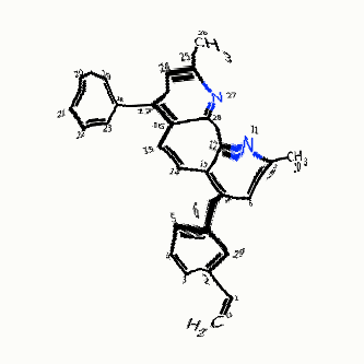 C=Cc1cccc(-c2cc(C)nc3c2ccc2c(-c4ccccc4)cc(C)nc23)c1